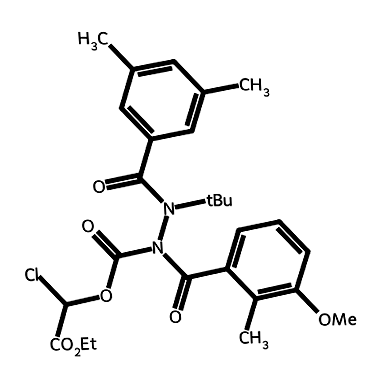 CCOC(=O)C(Cl)OC(=O)N(C(=O)c1cccc(OC)c1C)N(C(=O)c1cc(C)cc(C)c1)C(C)(C)C